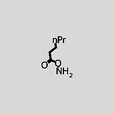 CCCCCC(=O)ON